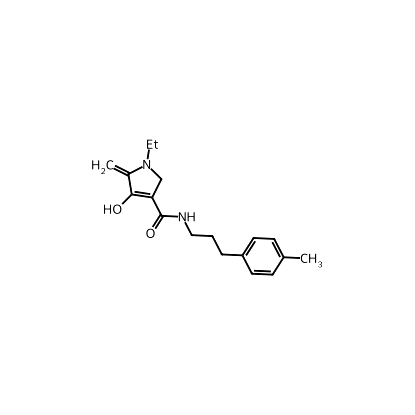 C=C1C(O)=C(C(=O)NCCCc2ccc(C)cc2)CN1CC